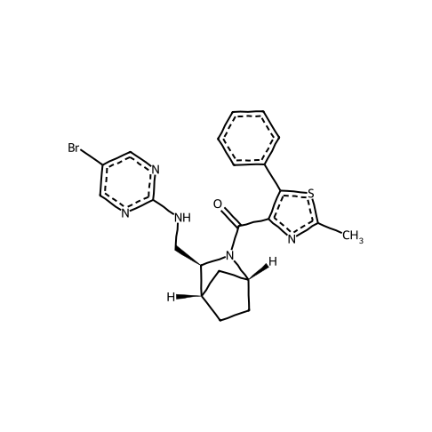 Cc1nc(C(=O)N2[C@@H]3CC[C@@H](C3)[C@H]2CNc2ncc(Br)cn2)c(-c2ccccc2)s1